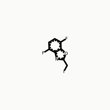 Fc1ccc(F)c2oc(CI)nc12